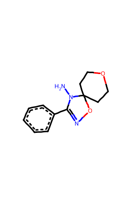 NN1C(c2ccccc2)=NOC12CCOCC2